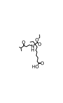 CCOC(=O)C(CC)(CCCCCCC(=O)O)NCCC(=O)C(C)C